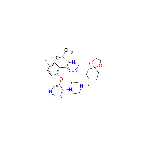 CC(C)c1ncncc1-c1cc(F)ccc1Oc1cncnc1N1CCN(CC2CCC3(CC2)OCCO3)CC1